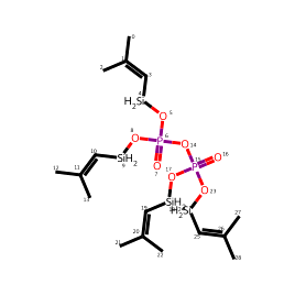 CC(C)=C[SiH2]OP(=O)(O[SiH2]C=C(C)C)OP(=O)(O[SiH2]C=C(C)C)O[SiH2]C=C(C)C